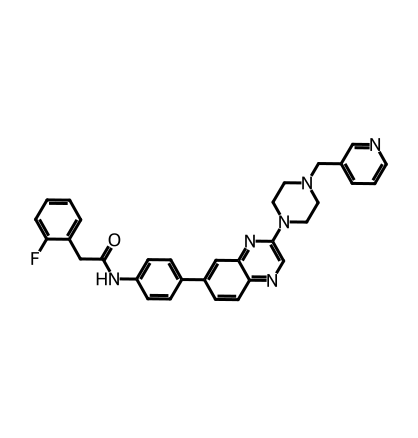 O=C(Cc1ccccc1F)Nc1ccc(-c2ccc3ncc(N4CCN(Cc5cccnc5)CC4)nc3c2)cc1